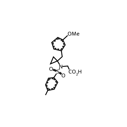 COc1cccc(CC2(N(CC(=O)O)S(=O)(=O)c3ccc(C)cc3)CC2)c1